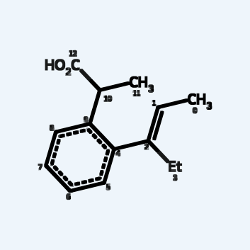 CC=C(CC)c1ccccc1C(C)C(=O)O